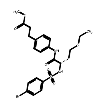 CCSCC[C@H](NS(=O)(=O)c1ccc(Br)cc1)C(=O)Nc1ccc(CCC(=O)OC)cc1